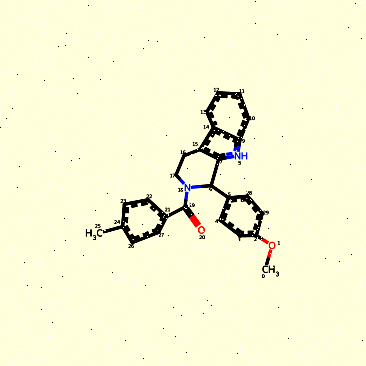 COc1ccc(C2c3[nH]c4ccccc4c3CCN2C(=O)c2ccc(C)cc2)cc1